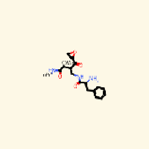 CCCNC(=O)[C@@H](OC)[C@H](CNC(=O)[C@@H](N)Cc1ccccc1)C(=O)C1CO1